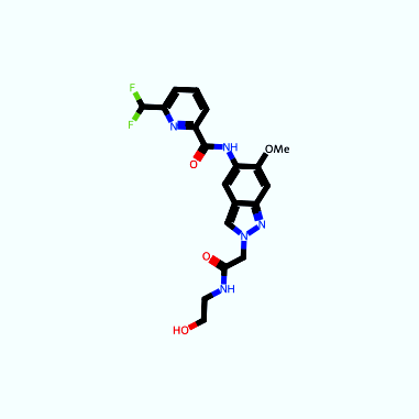 COc1cc2nn(CC(=O)NCCO)cc2cc1NC(=O)c1cccc(C(F)F)n1